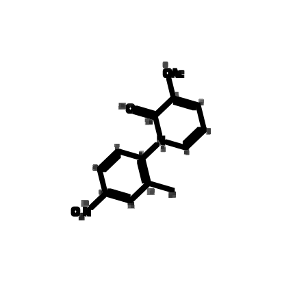 CC(=O)Oc1cccn(-c2ccc([N+](=O)[O-])cc2C)c1=O